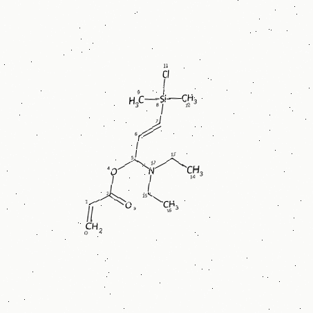 C=CC(=O)OC(C=C[Si](C)(C)Cl)N(CC)CC